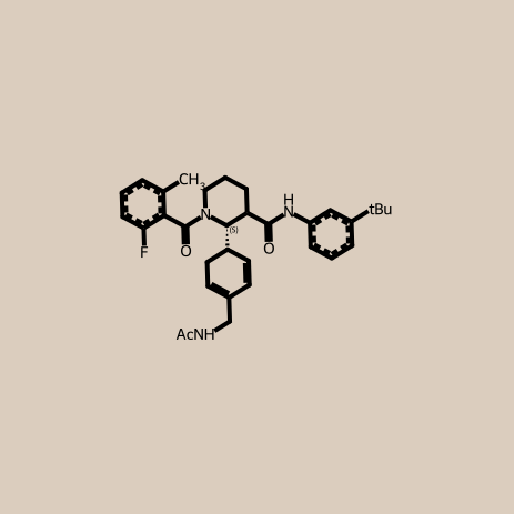 CC(=O)NCC1=CCC([C@H]2C(C(=O)Nc3cccc(C(C)(C)C)c3)CCCN2C(=O)c2c(C)cccc2F)C=C1